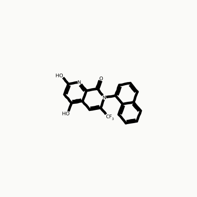 O=c1c2nc(O)cc(O)c2cc(C(F)(F)F)n1-c1cccc2ccccc12